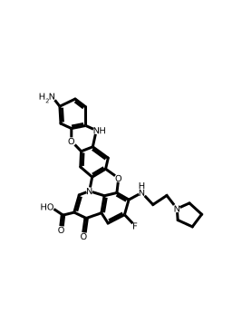 Nc1ccc2[nH]c3cc4oc5c(NCCN6CCCC6)c(F)cc6c(=O)c(C(=O)O)cn(c4cc3oc2c1)c56